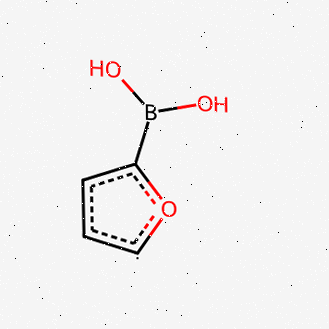 OB(O)c1cc[c]o1